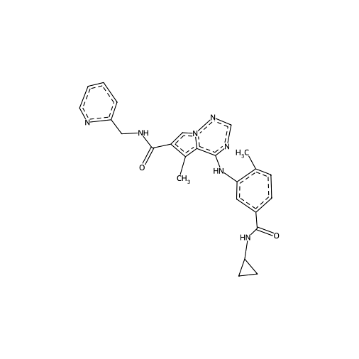 Cc1ccc(C(=O)NC2CC2)cc1Nc1ncnn2cc(C(=O)NCc3ccccn3)c(C)c12